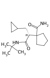 CC(C)(C)NC(=O)[C@H](CC1CC1)C1(C(N)=O)CCCC1